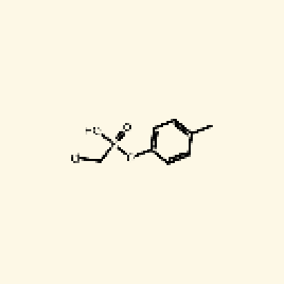 Cc1ccc(OP(=O)(O)CCl)cc1